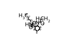 C=CC(=O)Nc1ccccc1S(=O)(=O)NCCCC